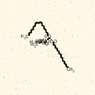 CCCCCCCC/C=C\C/C=C\CCCCCCC(=O)O[C@H](COC(=O)CCCCCCCCCCCCCCCCC)COP(=O)(O)OCC[N+](C)(C)C